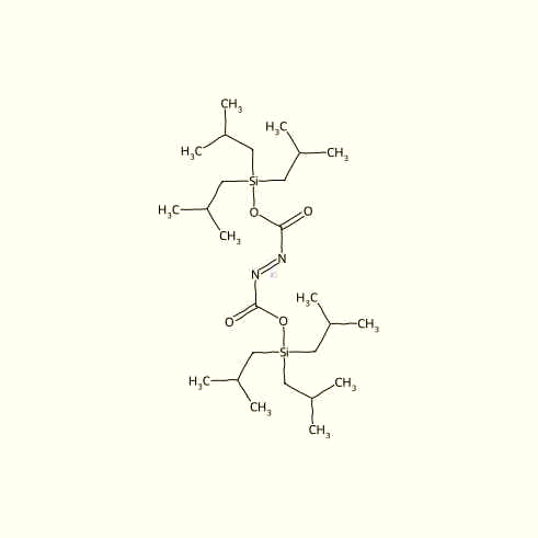 CC(C)C[Si](CC(C)C)(CC(C)C)OC(=O)/N=N/C(=O)O[Si](CC(C)C)(CC(C)C)CC(C)C